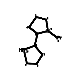 CC(C)N1CCCC1C1CCCN1